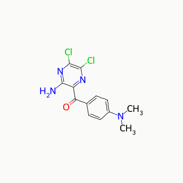 CN(C)c1ccc(C(=O)c2nc(Cl)c(Cl)nc2N)cc1